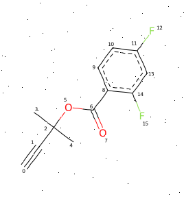 C#CC(C)(C)OC(=O)c1ccc(F)cc1F